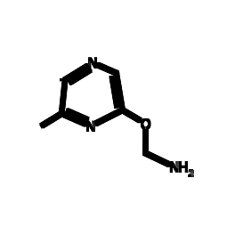 Cc1[c]ncc(OCN)n1